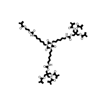 C=C(C)C(=O)OCCOC(=O)NCCCCCCn1c(=O)n(CCCCCCNC(=O)OCC(COC(=O)C(=C)C)(COC(=O)C(=C)C)COC(=O)C(=C)C)c(=O)n(CCCCCCNC(=O)OCC(COC(=O)C(=C)C)(COC(=O)C(=C)C)COC(=O)C(=C)C)c1=O